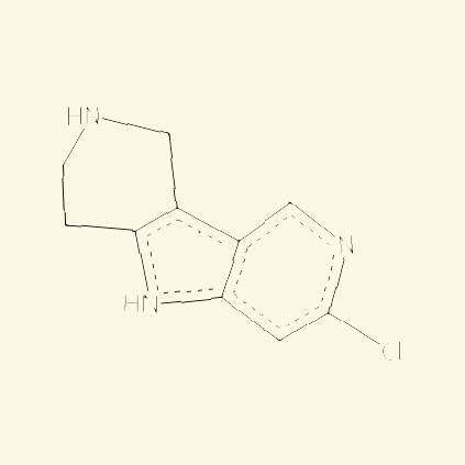 Clc1cc2[nH]c3c(c2cn1)CNCC3